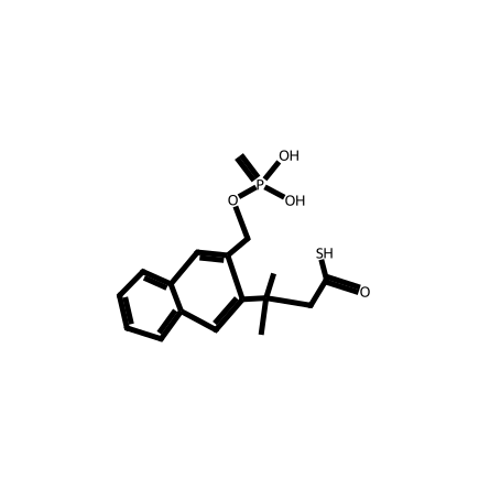 C=P(O)(O)OCc1cc2ccccc2cc1C(C)(C)CC(=O)S